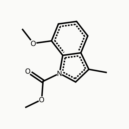 COC(=O)n1cc(C)c2cccc(OC)c21